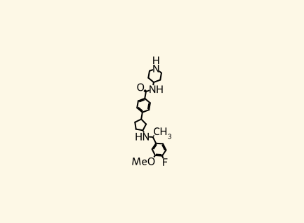 COc1cc([C@@H](C)N[C@H]2CCC(c3ccc(C(=O)NC4CCNCC4)cc3)C2)ccc1F